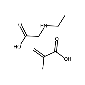 C=C(C)C(=O)O.CCNCC(=O)O